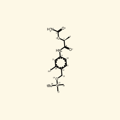 C[C@H](OC(N)=O)C(=O)Nc1ccc(CO[Si](C)(C)C(C)(C)C)c(I)c1